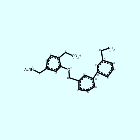 CC(=O)NCc1ccc(CC(=O)O)c(OCc2cccc(-c3cccc(CN)c3)c2)c1